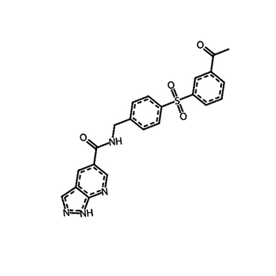 CC(=O)c1cccc(S(=O)(=O)c2ccc(CNC(=O)c3cnc4[nH]ncc4c3)cc2)c1